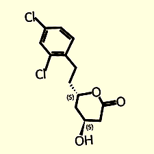 O=C1C[C@@H](O)C[C@H](CCc2ccc(Cl)cc2Cl)O1